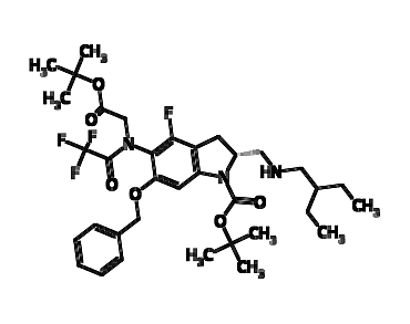 CCC(CC)CNC[C@H]1Cc2c(cc(OCc3ccccc3)c(N(CC(=O)OC(C)(C)C)C(=O)C(F)(F)F)c2F)N1C(=O)OC(C)(C)C